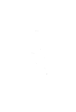 CCOC(=O)Oc1c[nH]nc1NC1CC(C)(c2cc(OC)ccc2OC)OC1=O